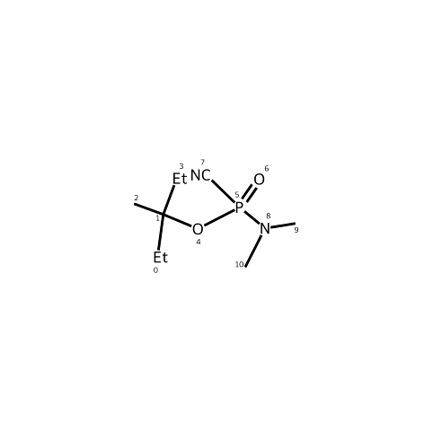 CCC(C)(CC)OP(=O)(C#N)N(C)C